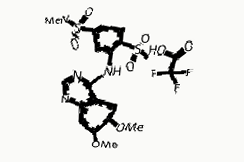 CNS(=O)(=O)c1ccc(S(C)(=O)=O)c(Nc2ncnc3cc(OC)c(OC)cc23)c1.O=C(O)C(F)(F)F